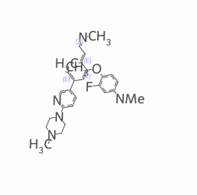 C\C=C(/C=C(Oc1ccc(NC)cc1F)\C(C)=C\C=N/C)c1ccc(N2CCN(C)CC2)nc1